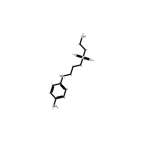 Nc1ccc(NCCCS(=O)(=O)CCO)cc1